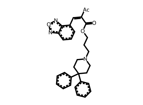 CC(=O)C(=Cc1cccc2nonc12)C(=O)OCCCN1CCC(c2ccccc2)(c2ccccc2)CC1